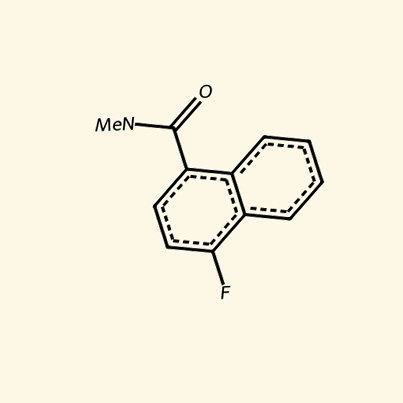 CNC(=O)c1ccc(F)c2ccccc12